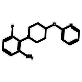 Nc1cccc(F)c1N1CCC(Oc2ccccn2)CC1